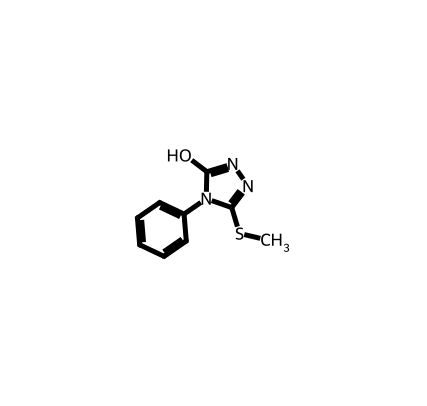 CSc1nnc(O)n1-c1ccccc1